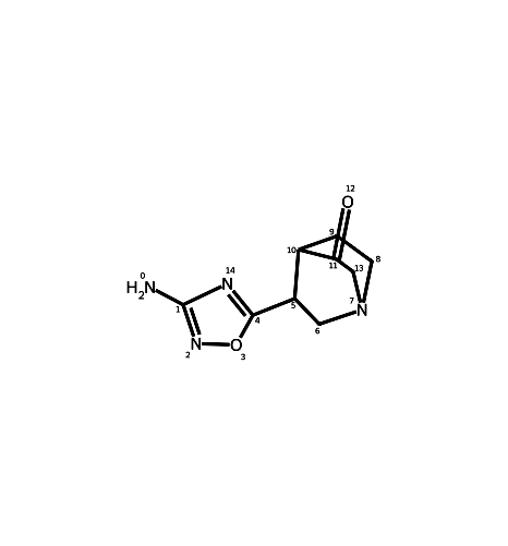 Nc1noc(C2CN3CCC2C(=O)C3)n1